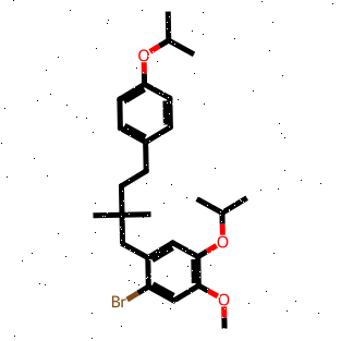 COc1cc(Br)c(CC(C)(C)CCc2ccc(OC(C)C)cc2)cc1OC(C)C